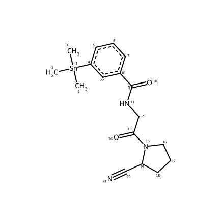 [CH3][Sn]([CH3])([CH3])[c]1cccc(C(=O)NCC(=O)N2CCCC2C#N)c1